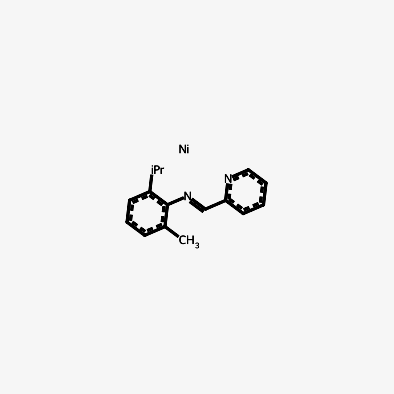 Cc1cccc(C(C)C)c1N=Cc1ccccn1.[Ni]